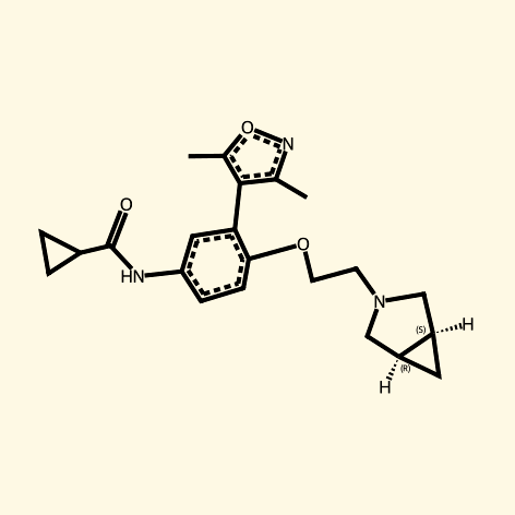 Cc1noc(C)c1-c1cc(NC(=O)C2CC2)ccc1OCCN1C[C@H]2C[C@H]2C1